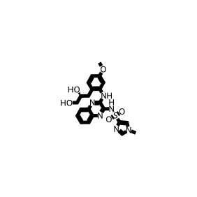 COc1ccc(C[C@H](O)CO)c(Nc2nc3ccccc3nc2NS(=O)(=O)c2cn(C)cn2)c1